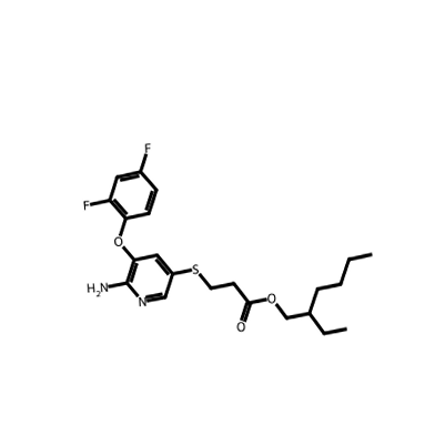 CCCCC(CC)COC(=O)CCSc1cnc(N)c(Oc2ccc(F)cc2F)c1